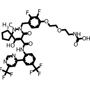 CN1N(Cc2ccc(OCCOCCNC(=O)O)c(F)c2F)C(=O)C(C(=O)Nc2ccc(C(F)(F)F)cc2-c2cc(C(F)(F)F)ncn2)=C(O)C12CCCC2